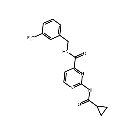 O=C(NCc1cccc(C(F)(F)F)c1)c1ccnc(NC(=O)C2CC2)n1